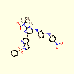 CC(C)(C)N(C(=O)O)c1nc(Nc2cccc(Nc3ccc([N+](=O)[O-])cc3)c2)cc(-c2cnc3c(ccn3S(=O)(=O)c3ccccc3)c2)n1